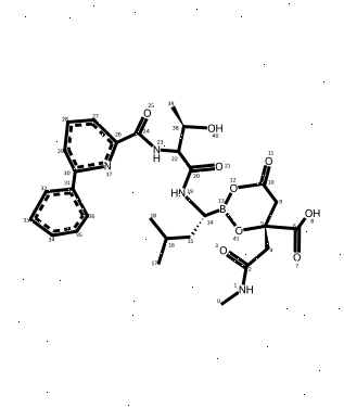 CNC(=O)C[C@]1(C(=O)O)CC(=O)OB([C@H](CC(C)C)NC(=O)C(NC(=O)c2cccc(-c3ccccc3)n2)[C@@H](C)O)O1